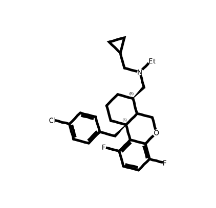 CCN(CC1CC1)C[C@@H]1CCC[C@@]2(Cc3ccc(Cl)cc3)c3c(F)ccc(F)c3OCC12